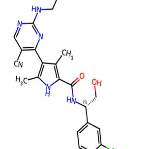 Cc1[nH]c(C(=O)N[C@H](CO)c2cccc(Cl)c2)c(C)c1-c1nc(NCCF)ncc1C#N